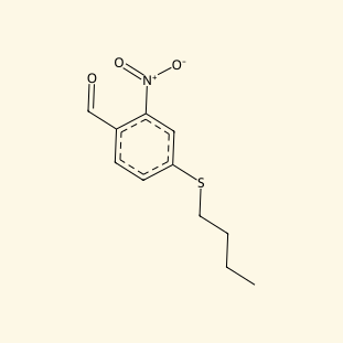 CCCCSc1ccc(C=O)c([N+](=O)[O-])c1